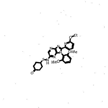 CCOc1cccc(-c2nc3ncc(NSC4CCC(=O)CC4)nc3n2-c2c(OC)cccc2OC)n1